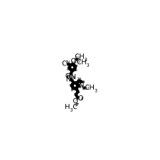 CCOC(=O)CCc1ccc(-c2noc(-c3ccc(OC(C)C)c(Cl)c3)n2)c2ccn(CC)c12